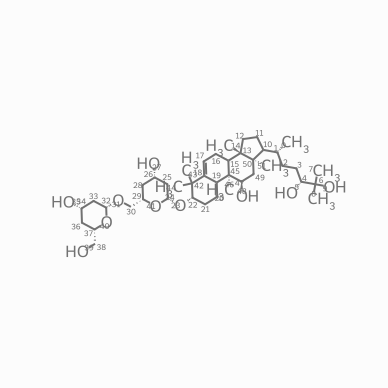 C[C@H](CC[C@@H](O)C(C)(C)O)C1CC[C@@]2(C)C3CC=C4C(CC[C@H](O[C@H]5C[C@@H](O)C[C@@H](CO[C@H]6C[C@@H](O)C[C@@H](CO)O6)O5)C4(C)C)[C@]3(C)[C@H](O)C[C@]12C